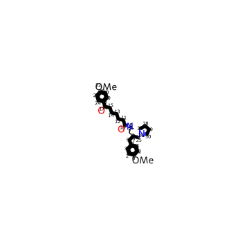 COc1ccc(CC(=C=NC(=O)CCCCCC(=O)c2ccc(OC)cc2)CN2CCCC2)cc1